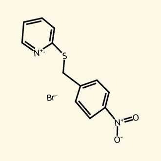 O=[N+]([O-])c1ccc(CSC2=CC=CC=[N+]2)cc1.[Br-]